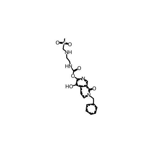 CS(=O)(=O)CNCCNC(=O)Oc1ncc2c(=O)n(Cc3ccccc3)ccc2c1O